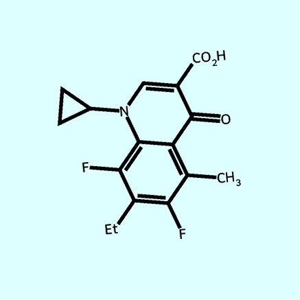 CCc1c(F)c(C)c2c(=O)c(C(=O)O)cn(C3CC3)c2c1F